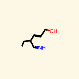 CCC(C=N)C=CCO